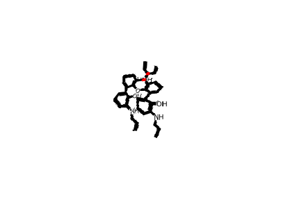 C=CCNc1cccc(-c2cccc(NCC=C)c2Oc2c(NCC=C)cccc2-c2cccc(NCC=C)c2O)c1O